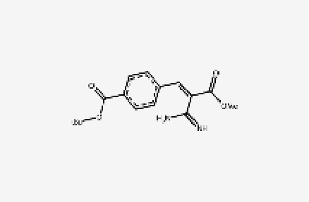 COC(=O)C(=Cc1ccc(C(=O)OC(C)(C)C)cc1)C(=N)N